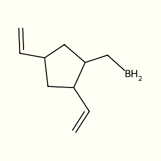 BCC1CC(C=C)CC1C=C